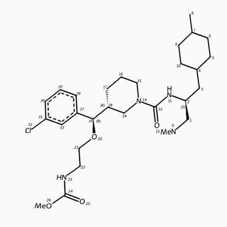 CNC[C@H](CC1CCC(C)CC1)NC(=O)N1CCC[C@@H]([C@@H](OCCNC(=O)OC)c2cccc(Cl)c2)C1